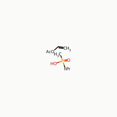 C=COC(C)=O.CCCP(C)(=O)O